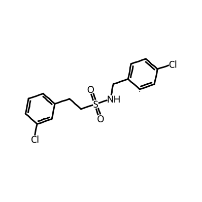 O=S(=O)(CCc1cccc(Cl)c1)NCc1[c]cc(Cl)cc1